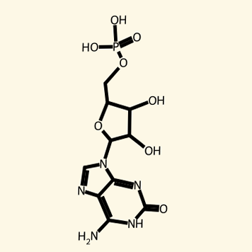 Nc1[nH]c(=O)nc2c1ncn2C1OC(COP(=O)(O)O)C(O)C1O